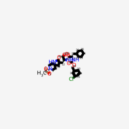 CS(=O)(=O)N1CCC2(CC1)CC(C[C@@H](CO)NC(=O)[C@H](CC1CCCCC1)NC(=O)OCc1cccc(Cl)c1)C(=O)N2